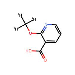 [2H]C([2H])([2H])Oc1ncccc1C(=O)O